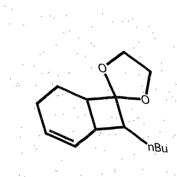 CCCCC1C2C=CCCC2C12OCCO2